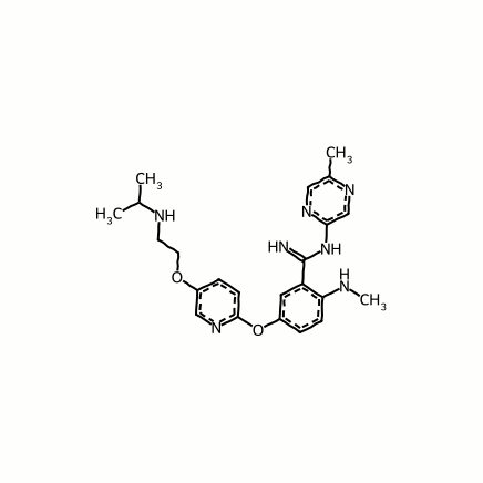 CNc1ccc(Oc2ccc(OCCNC(C)C)cn2)cc1C(=N)Nc1cnc(C)cn1